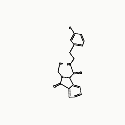 CC(C)CN1C(=O)c2ccccc2C1C(=O)NCCc1cccc(Cl)c1